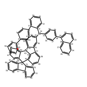 c1ccc(-c2ccc(-c3ccccc3N(c3ccc(-c4cccc5ccccc45)cc3)c3ccc4c(c3)c3cccc5c3n4-c3ccccc3C53c4ccccc4-c4ccccc43)cc2)cc1